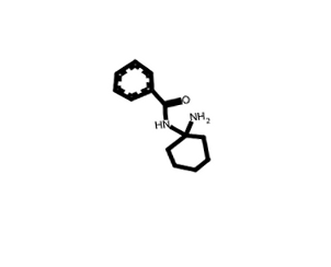 NC1(NC(=O)c2ccccc2)CCCCC1